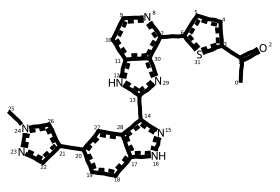 CC(=O)c1ccc(-c2nccc3[nH]c(-c4n[nH]c5ccc(-c6cnn(C)c6)cc45)nc23)s1